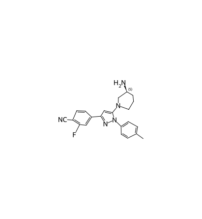 Cc1ccc(-n2nc(-c3ccc(C#N)c(F)c3)cc2N2CCC[C@H](N)C2)cc1